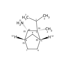 CC(C)[C@@]1(C)[C@@H]2CC[C@@H](C2)[C@@H]1N